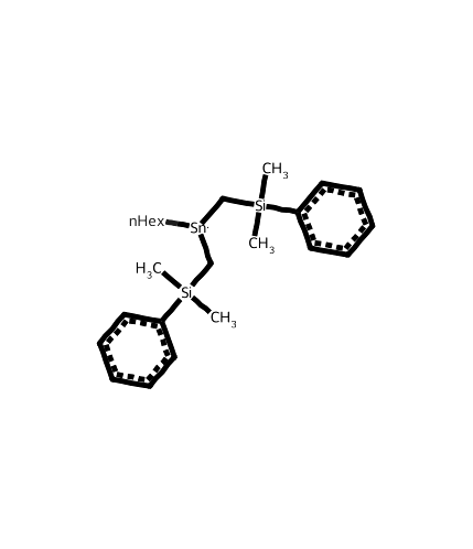 CCCCC[CH2][Sn]([CH2][Si](C)(C)c1ccccc1)[CH2][Si](C)(C)c1ccccc1